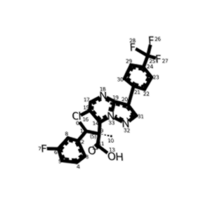 CC(c1cccc(F)c1)[C@](C)(C(=O)O)c1c(Cl)cnc2c(-c3ccc(C(F)(F)F)cc3)cnn12